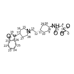 CS(=O)(=O)CC(=O)N[C@H]1CC[C@H](CCN2CCC(c3coc4ccccc34)CC2)CC1